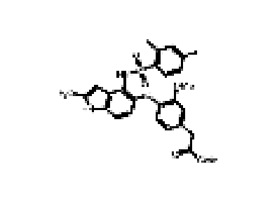 COC(=O)Cc1ccc(Oc2ccc3[nH]c(C(F)(F)F)cc3c2NS(=O)(=O)c2ccc(C)cc2C)c(OC)c1